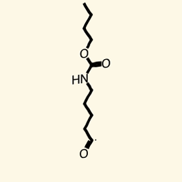 CCCCOC(=O)NCCCC[C]=O